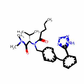 CCCCC(=O)N(Cc1ccc(-c2ccccc2-c2nnn[nH]2)cc1)[C@H](C(=O)N(C)C)C(C)C